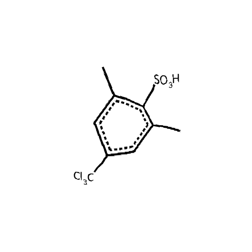 Cc1cc(C(Cl)(Cl)Cl)cc(C)c1S(=O)(=O)O